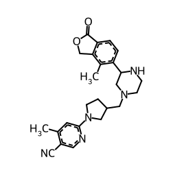 Cc1cc(N2CCC(CN3CCNC(c4ccc5c(c4C)COC5=O)C3)C2)ncc1C#N